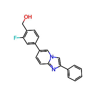 OCc1ccc(-c2ccc3nc(-c4ccccc4)cn3c2)cc1F